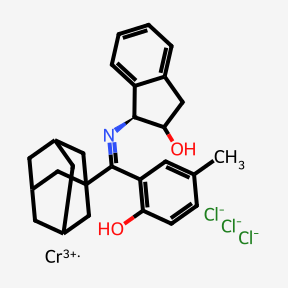 Cc1ccc(O)c(C(=N[C@H]2c3ccccc3CC2O)C23CC4CC(CC(C4)C2)C3)c1.[Cl-].[Cl-].[Cl-].[Cr+3]